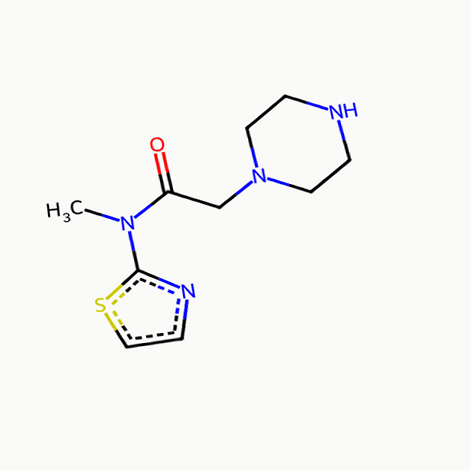 CN(C(=O)CN1CCNCC1)c1nccs1